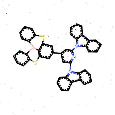 c1ccc2c(c1)Sc1cc(-c3cc(-n4c5ccccc5c5ccccc54)nc(-n4c5ccccc5c5ccccc54)c3)cc3c1B2c1ccccc1S3